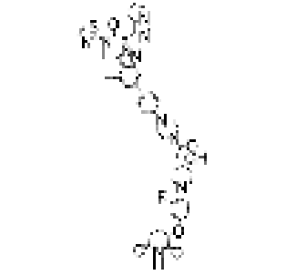 O=C1CCC(Oc2ccc(N3CCC(O)(CC(=O)N4CCN(c5ccc(-c6cc(F)c7cn(C(C(=O)Nc8nccs8)c8ncn9c8CCC9)nc7c6)cc5)CC4)CC3)c(F)c2)C(=O)N1